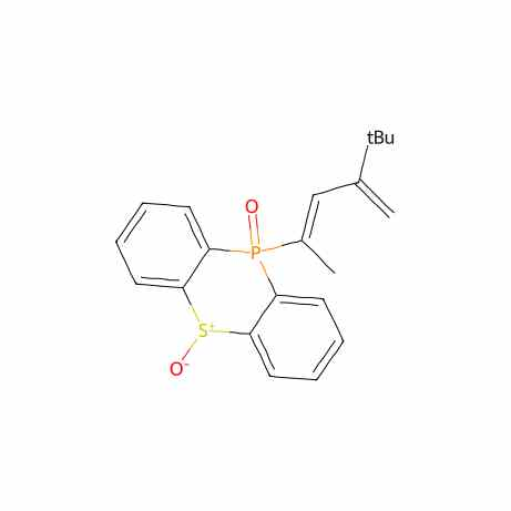 C=C(/C=C(\C)P1(=O)c2ccccc2[S+]([O-])c2ccccc21)C(C)(C)C